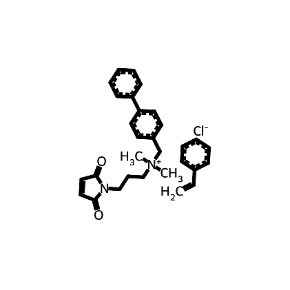 C=Cc1ccccc1.C[N+](C)(CCCN1C(=O)C=CC1=O)Cc1ccc(-c2ccccc2)cc1.[Cl-]